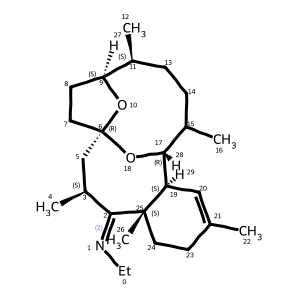 CC/N=C1/[C@@H](C)C[C@]23CC[C@H](O2)[C@@H](C)CCC(C)[C@@H](O3)[C@H]2C=C(C)CC[C@]12C